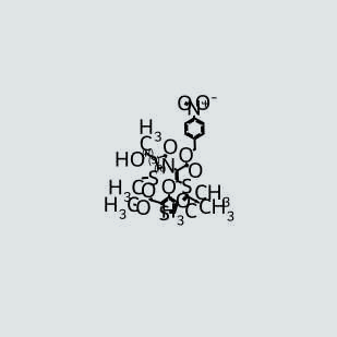 CCS[C@@H]1[C@@H]([C@@H](C)O)C(=O)N1C(C(=O)OCc1ccc([N+](=O)[O-])cc1)=C(Oc1ccsc1C(=O)OC)SC(=O)C(C)(C)C